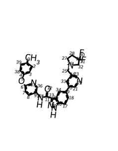 Cc1ccc(Oc2ccc(NC(=O)c3n[nH]c4ccc(-c5cncc(CN6CCC(F)(F)C6)c5)cc34)cn2)cc1